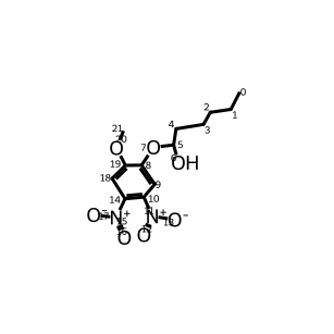 CCCCCC(O)Oc1cc([N+](=O)[O-])c([N+](=O)[O-])cc1OC